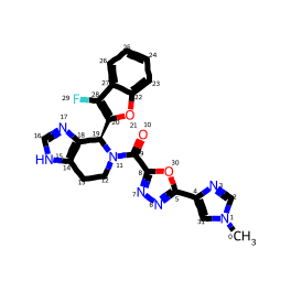 Cn1cnc(-c2nnc(C(=O)N3CCc4[nH]cnc4[C@H]3c3oc4ccccc4c3F)o2)c1